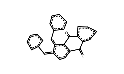 O=C1c2ccccc2C(=O)c2c1ccc(=Cc1ccccc1)c2=Cc1ccccc1